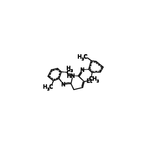 CCC1=CCC(=Nc2c(C)cccc2C)NC1=Nc1c(C)cccc1C